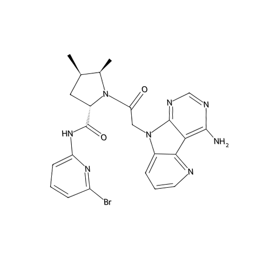 C[C@@H]1C[C@@H](C(=O)Nc2cccc(Br)n2)N(C(=O)Cn2c3cccnc3c3c(N)ncnc32)[C@@H]1C